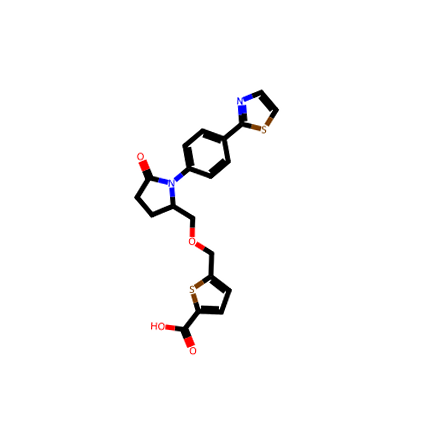 O=C(O)c1ccc(COCC2CCC(=O)N2c2ccc(-c3nccs3)cc2)s1